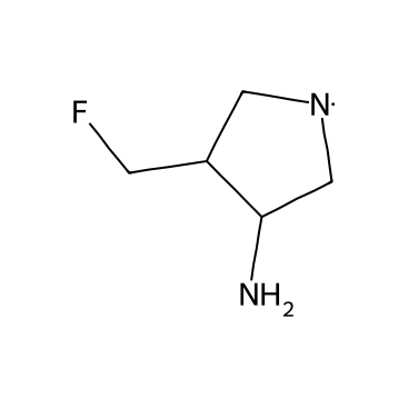 NC1C[N]CC1CF